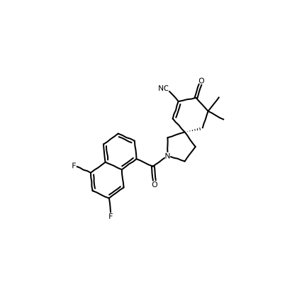 CC1(C)C[C@]2(C=C(C#N)C1=O)CCN(C(=O)c1cccc3c(F)cc(F)cc13)C2